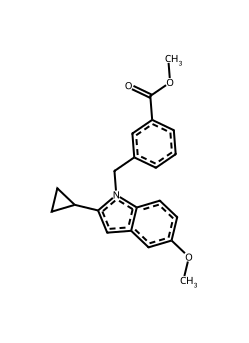 COC(=O)c1cccc(Cn2c(C3CC3)cc3cc(OC)ccc32)c1